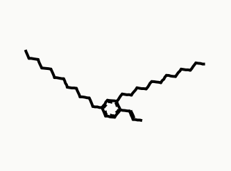 CC=Cc1ccc(CCCCCCCCCCCC)cc1CCCCCCCCCCCC